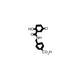 O=C(O)c1ccc(CNC(=O)c2cc(Cl)ccc2O)cc1